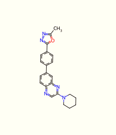 Cc1nnc(-c2ccc(-c3ccc4ncc(N5CCCCC5)nc4c3)cc2)o1